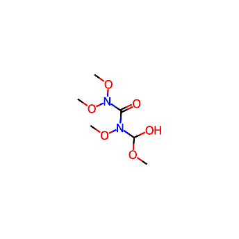 COC(O)N(OC)C(=O)N(OC)OC